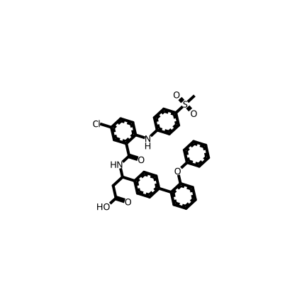 CS(=O)(=O)c1ccc(Nc2ccc(Cl)cc2C(=O)NC(CC(=O)O)c2ccc(-c3ccccc3Oc3ccccc3)cc2)cc1